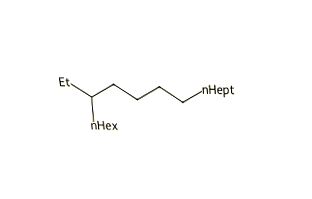 [CH2]CCCCCCCCCCC(CC)CCCCC[CH2]